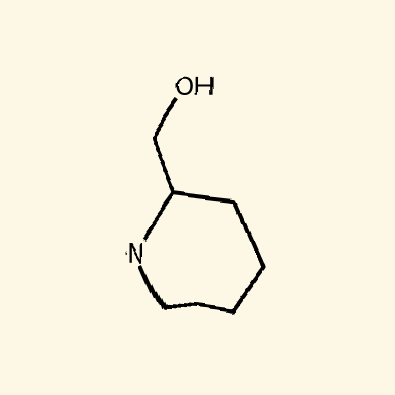 OCC1CCCC[N]1